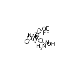 N/C(=N\O)c1ccc(S(=O)(=O)N(Cc2ccc(OC(F)(F)F)cc2)c2ncc3ccccc3c2C2CC2)cc1